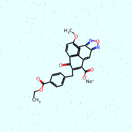 CCOC(=O)c1ccc(C/C(C(=O)c2ccc(OC)cc2)=C(\C(=O)[O-])c2ccc3nonc3c2)cc1.[Na+]